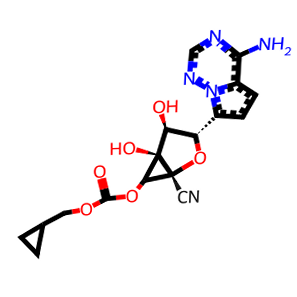 N#C[C@]12O[C@@H](c3ccc4c(N)ncnn34)[C@H](O)[C@@]1(O)C2OC(=O)OCC1CC1